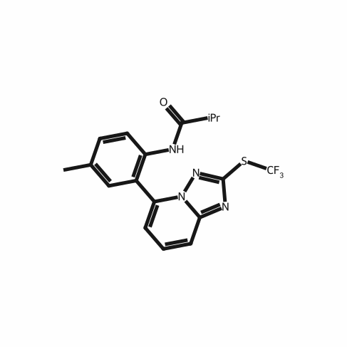 Cc1ccc(NC(=O)C(C)C)c(-c2cccc3nc(SC(F)(F)F)nn23)c1